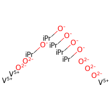 CC(C)[O-].CC(C)[O-].CC(C)[O-].CC(C)[O-].CC(C)[O-].[O-2].[O-2].[O-2].[O-2].[O-2].[V+5].[V+5].[V+5]